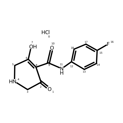 Cl.O=C1CNCC(O)=C1C(=O)Nc1ccc(F)cc1